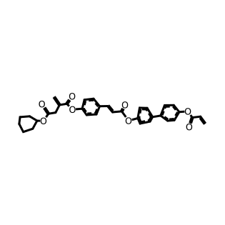 C=CC(=O)Oc1ccc(-c2ccc(OC(=O)/C=C/c3ccc(OC(=O)C(=C)CC(=O)OC4CCCCC4)cc3)cc2)cc1